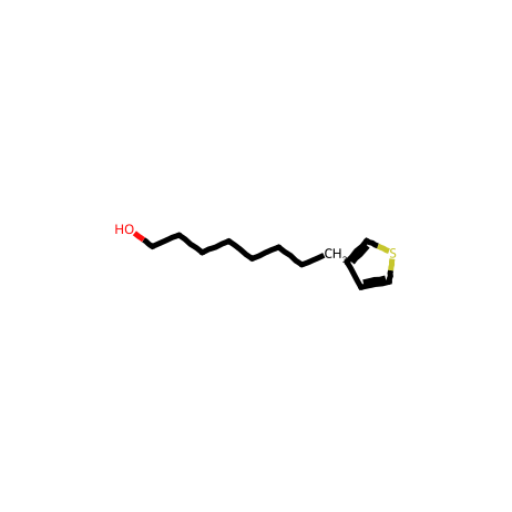 CCCCCCCCO.c1ccsc1